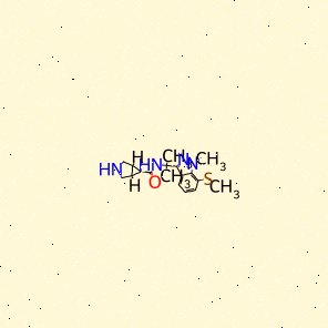 CSc1cccc2c(C(C)(C)NC(=O)[C@H]3[C@@H]4CNC[C@@H]43)nn(C)c12